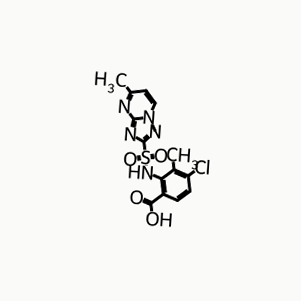 Cc1ccn2nc(S(=O)(=O)Nc3c(C(=O)O)ccc(Cl)c3C)nc2n1